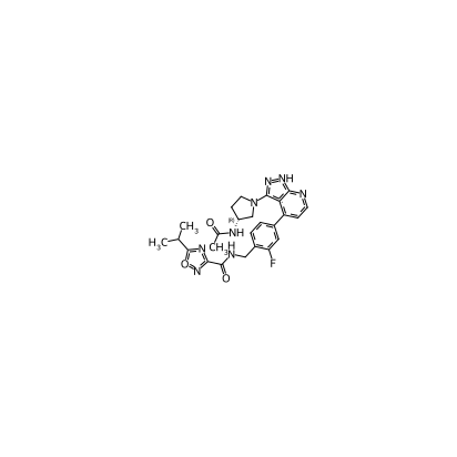 CC(=O)N[C@@H]1CCN(c2n[nH]c3nccc(-c4ccc(CNC(=O)c5noc(C(C)C)n5)c(F)c4)c23)C1